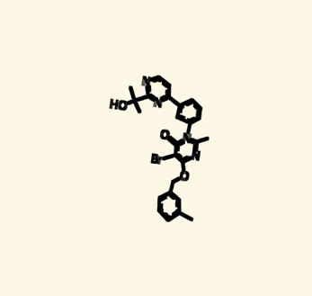 Cc1cccc(COc2nc(C)n(-c3cccc(-c4ccnc(C(C)(C)O)n4)c3)c(=O)c2Br)c1